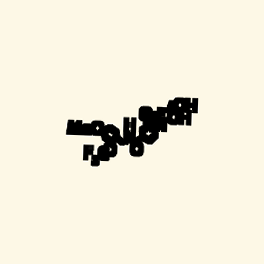 COc1ccc(CNC(=O)c2ccc3nn(CC(O)CO)c(=O)n3c2)c(OC(F)(F)F)c1